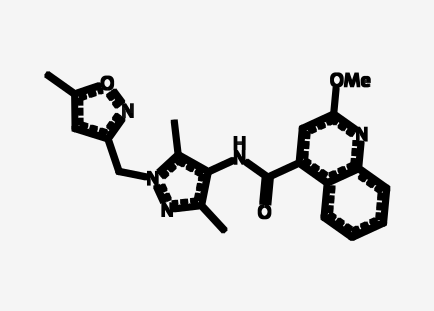 COc1cc(C(=O)Nc2c(C)nn(Cc3cc(C)on3)c2C)c2ccccc2n1